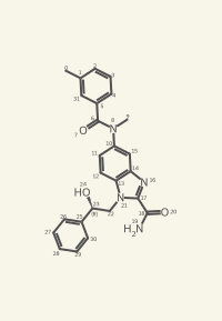 Cc1cccc(C(=O)N(C)c2ccc3c(c2)nc(C(N)=O)n3C[C@H](O)c2ccccc2)c1